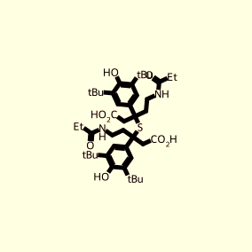 CCC(=O)NCCC(CC(=O)O)(SC(CCNC(=O)CC)(CC(=O)O)c1cc(C(C)(C)C)c(O)c(C(C)(C)C)c1)c1cc(C(C)(C)C)c(O)c(C(C)(C)C)c1